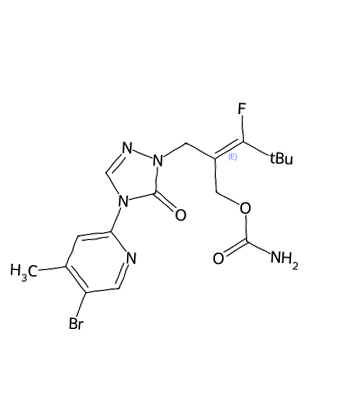 Cc1cc(-n2cnn(C/C(COC(N)=O)=C(\F)C(C)(C)C)c2=O)ncc1Br